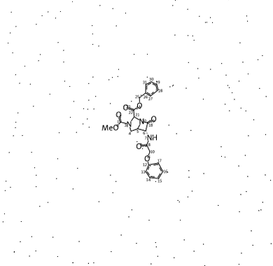 COC(=O)N1CC2[C@@H](NC(=O)COc3ccccc3)C(=O)N2C1C(=O)OCc1ccccc1